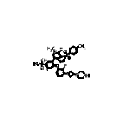 Cc1ccc(S(=O)(=O)n2ccc3c(-c4cc(C(C)(C)O)ccc4Oc4cccc(N5CC(N6CCNCC6)C5)c4F)cn(C)c(=O)c32)cc1